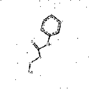 O=C(C[S][Ag])Nc1ccccc1